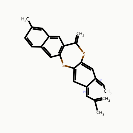 C=C(C)/C=c1/cc2c(c/c1=C/C)SC(=C)c1cc3cc(C)ccc3cc1S2